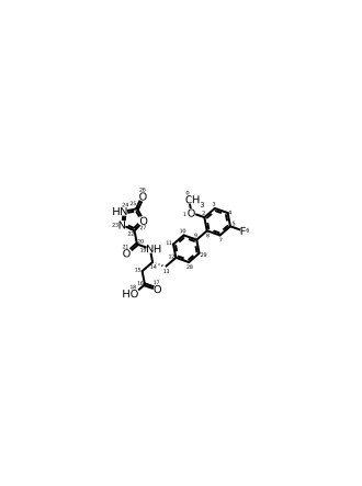 COc1ccc(F)cc1-c1ccc(C[C@H](CC(=O)O)NC(=O)c2n[nH]c(=O)o2)cc1